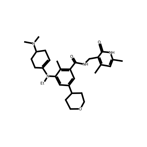 CCN(C1=CCC(N(C)C)CC1)c1cc(C2CCOCC2)cc(C(=O)NCc2c(C)cc(C)[nH]c2=O)c1C